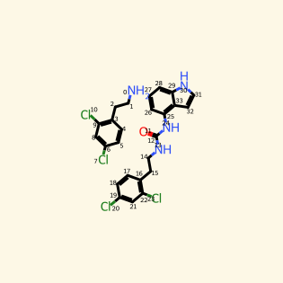 NCCc1ccc(Cl)cc1Cl.O=C(NCCc1ccc(Cl)cc1Cl)Nc1cccc2[nH]ccc12